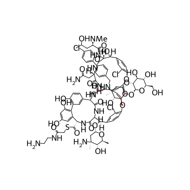 CN[C@H](CC(C)O)C(=O)N[C@H]1C(=O)N[C@@H](CC(N)=O)C(=O)N[C@H]2C(=O)N[C@H]3C(=O)N[C@H](C(=O)N[C@H](C(=O)SCC(=O)NCCN)c4cc(O)cc(O)c4-c4cc3ccc4O)[C@H](O[C@H]3C[C@](C)(N)[C@@H](O)[C@H](C)O3)c3ccc(c(Cl)c3)Oc3cc2cc(c3O[C@@H]2O[C@H](CO)[C@@H](O)[C@H](O)[C@H]2O[C@H]2C[C@](C)(NCc3ccc(-c4ccc(Cl)cc4)cc3)[C@@H](O)[C@H](C)O2)Oc2ccc(cc2Cl)[C@H]1O